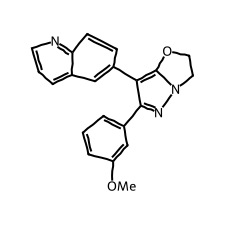 COc1cccc(-c2nn3c(c2-c2ccc4ncccc4c2)OCC3)c1